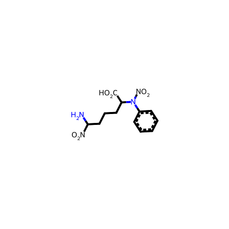 NC(CCCC(C(=O)O)N(c1ccccc1)[N+](=O)[O-])[N+](=O)[O-]